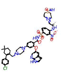 C[C@@H](CN1CCS(=N)(=O)CC1)Nc1ccc(S(=O)(=O)NC(=O)c2ccc(N3CCN(CC4=C(c5ccc(Cl)cc5)CC(C)(C)CC4)CC3)cc2Oc2cnc3[nH]ccc3c2)cc1[N+](=O)[O-]